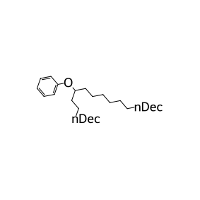 CCCCCCCCCCCCCCCCC(CCCCCCCCCCCC)Oc1ccccc1